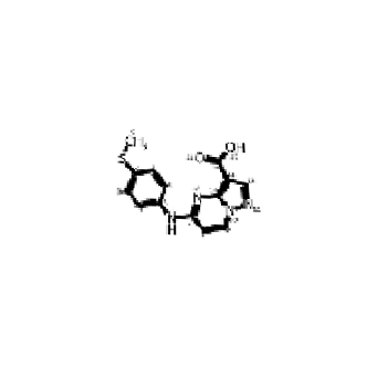 CSc1ccc(Nc2ccn3ncc(C(=O)O)c3n2)cc1